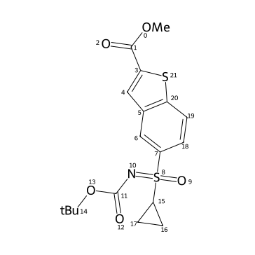 COC(=O)c1cc2cc(S(=O)(=NC(=O)OC(C)(C)C)C3CC3)ccc2s1